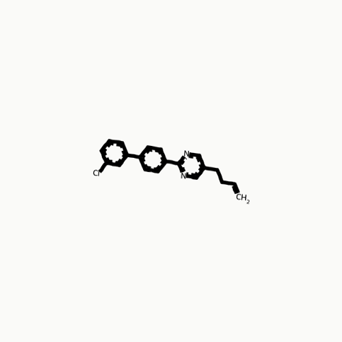 C=CCCc1cnc(-c2ccc(-c3cccc(Cl)c3)cc2)nc1